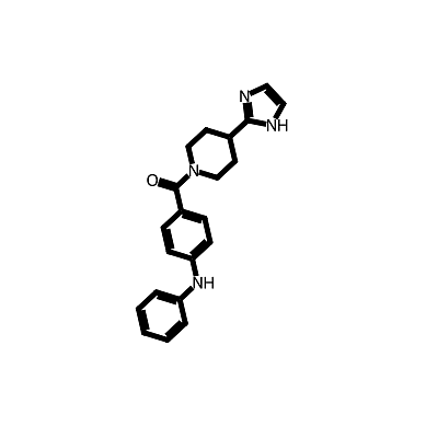 O=C(c1ccc(Nc2ccccc2)cc1)N1CCC(c2ncc[nH]2)CC1